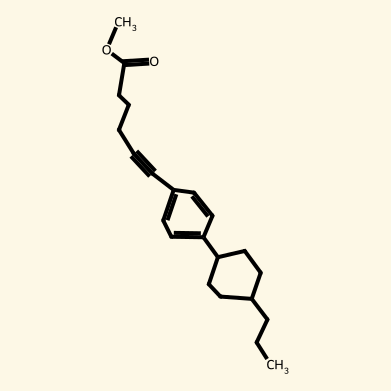 CCCC1CCC(c2ccc(C#CCCCC(=O)OC)cc2)CC1